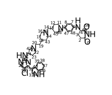 O=C1CCC(Nc2ccc(N3CCC(CN4CCC(CCN5CC[C@@H](Nc6ncc(Cl)c(-c7c[nH]c8ccccc78)n6)C5)CC4)CC3)cc2)C(=O)N1